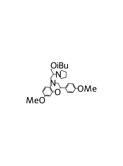 COc1ccc(C2CN(CC(COCC(C)C)N3CCCC3)c3ccc(OC)cc3O2)cc1